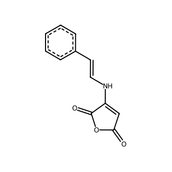 O=C1C=C(NC=Cc2ccccc2)C(=O)O1